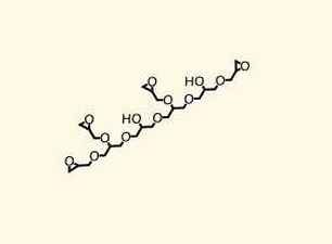 OC(COCC(COCC(O)COCC1CO1)OCC1CO1)COCC(COCC1CO1)OCC1CO1